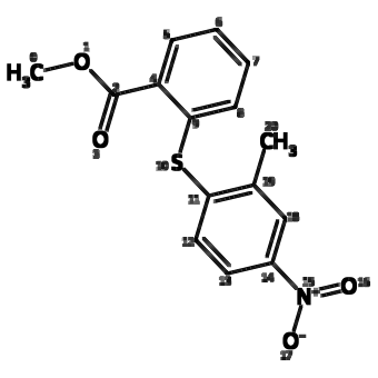 COC(=O)c1ccccc1Sc1ccc([N+](=O)[O-])cc1C